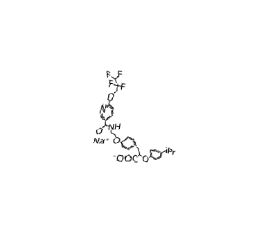 CC(C)c1ccc(OC(Cc2ccc(OCCNC(=O)c3ccc(OCC(F)(F)C(F)F)nc3)cc2)C(=O)[O-])cc1.[Na+]